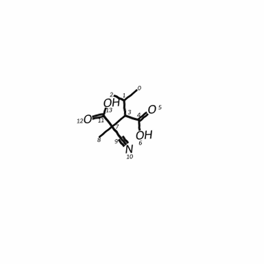 CC(C)C(C(=O)O)C(C)(C#N)C(=O)O